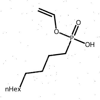 C=COP(=O)(O)CCCCCCCCCC